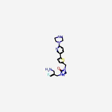 NC/C(=C\F)Cn1ncn(Cc2ccc(-c3ccc(N4CCNCC4)nc3)s2)c1=O